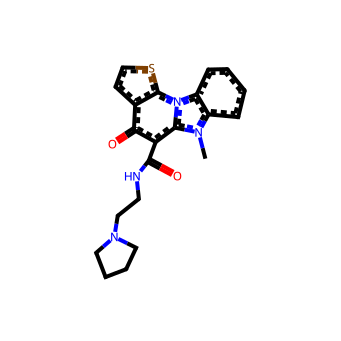 Cn1c2ccccc2n2c3sccc3c(=O)c(C(=O)NCCN3CCCC3)c12